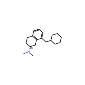 CN(C)[C@@H]1CCc2cccc(CC3CCCCC3)c2C1